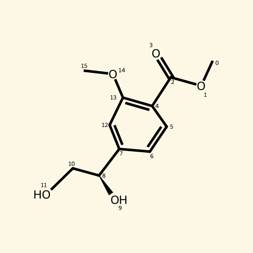 COC(=O)c1ccc([C@@H](O)CO)cc1OC